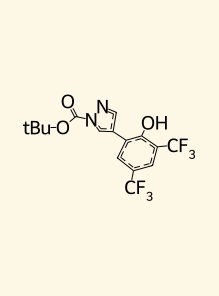 CC(C)(C)OC(=O)n1cc(-c2cc(C(F)(F)F)cc(C(F)(F)F)c2O)cn1